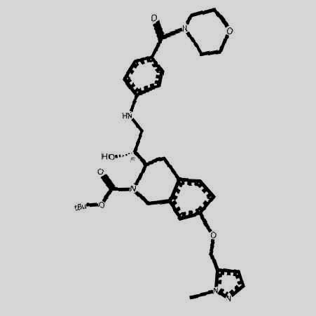 Cn1nccc1COc1ccc2c(c1)CN(C(=O)OC(C)(C)C)C([C@H](O)CNc1ccc(C(=O)N3CCOCC3)cc1)C2